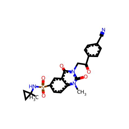 Cn1c(=O)n(CC(=O)c2ccc(C#N)cc2)c(=O)c2cc(S(=O)(=O)NC3(C)CC3)ccc21